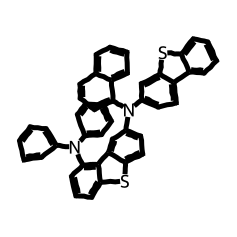 c1ccc(N(c2ccccc2)c2cccc3sc4ccc(N(c5ccc6c(c5)sc5ccccc56)c5cccc6ccccc56)cc4c23)cc1